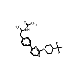 CC(=O)NC(C)Cc1ccc(-c2ccnc(N3CCC(C(F)(F)F)CC3)n2)cc1